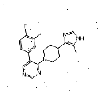 Cc1cc(-c2cncnc2N2CCC(c3nc[nH]c3C)CC2)ccc1F